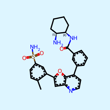 Cc1ccc(S(N)(=O)=O)cc1-c1cc2nccc(-c3cccc(C(=O)N[C@@H]4CCCC[C@@H]4N)c3)c2o1